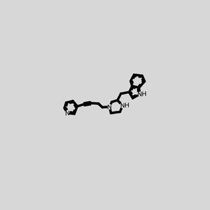 C(#Cc1cccnc1)CCN1CCNC(Cc2c[nH]c3ccccc23)C1